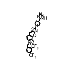 O=C1N=C(N2CCC(c3nnn[nH]3)CC2)SC1=Cc1ccc2c(cnn2Cc2ccc(C(F)(F)F)cc2C(F)(F)F)c1